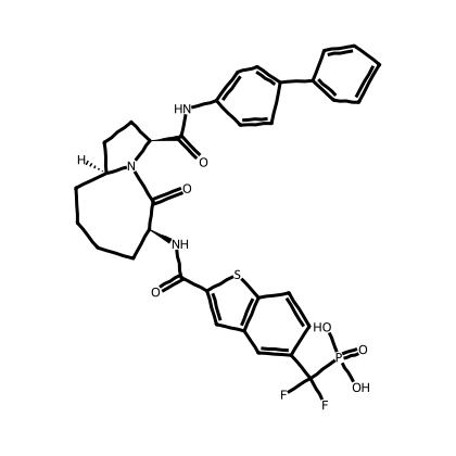 O=C(N[C@H]1CCCC[C@H]2CC[C@@H](C(=O)Nc3ccc(-c4ccccc4)cc3)N2C1=O)c1cc2cc(C(F)(F)P(=O)(O)O)ccc2s1